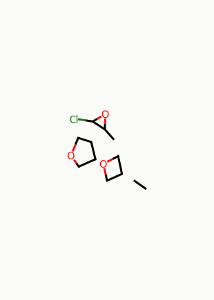 C1CCOC1.C1COC1.CC.CC1OC1Cl